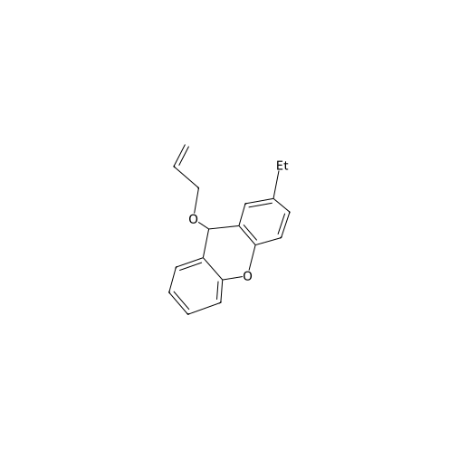 C=CCOC1c2ccccc2Oc2ccc(CC)cc21